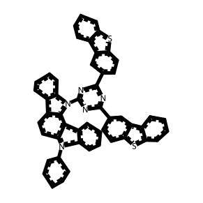 c1ccc(-n2c3ccccc3c3c2ccc2c4ccccc4n(-c4nc(-c5ccc6sc7ccccc7c6c5)nc(-c5ccc6sc7ccccc7c6c5)n4)c23)cc1